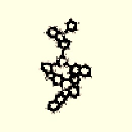 c1ccc(-c2cc3c(cc2-n2c4ccccc4c4cc5ccccc5cc42)oc2cccc(-c4nc(-c5ccc6ccccc6c5)nc(-c5ccc6c(c5)c5ccccc5n6-c5ccccc5)n4)c23)cc1